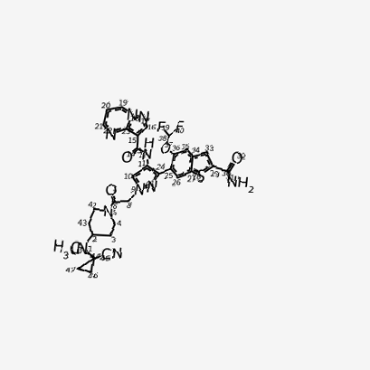 CN(C1CCN(C(=O)Cn2cc(NC(=O)c3cnn4cccnc34)c(-c3cc4sc(C(N)=O)cc4cc3OC(F)F)n2)CC1)C1(C#N)CC1